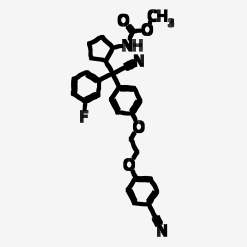 COC(=O)NC1CCCC1C(C#N)(c1ccc(OCCOc2ccc(C#N)cc2)cc1)c1cccc(F)c1